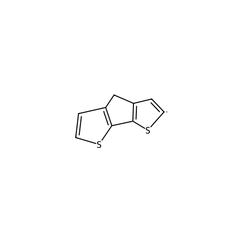 [c]1cc2c(s1)-c1sccc1C2